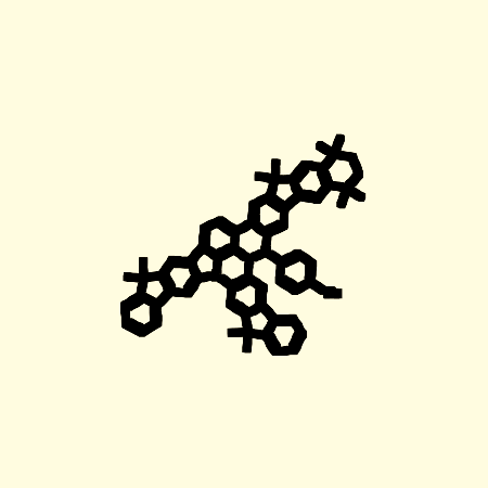 CC(C)(C)c1ccc(N2B3c4cc5c(cc4-n4c6cc7c(cc6c6ccc(c3c64)-c3cc4c(cc32)-c2cc3c(cc2C4(C)C)C(C)(C)CCC3(C)C)C(C)(C)c2ccccc2-7)C(C)(C)c2ccccc2-5)cc1